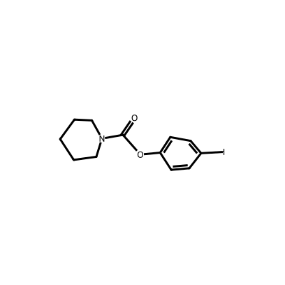 O=C(Oc1ccc(I)cc1)N1CCCCC1